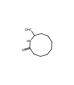 O=[C]C1CCCCCCCC(=O)N1